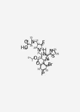 CCOC(=O)C1=C(CN2CC(F)C(CN(C)CC(=O)O)C2)NC(c2nccs2)=N[C@H]1c1ccc(F)cc1Br